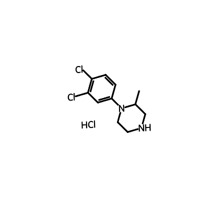 CC1CNCCN1c1ccc(Cl)c(Cl)c1.Cl